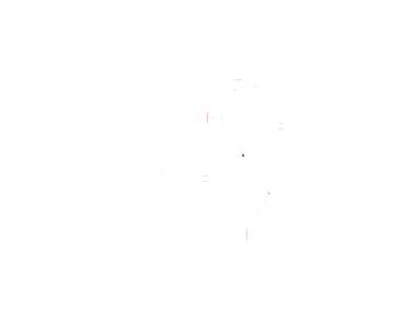 OC(F)(F)CF.[Cl-].[Cl-].[Zn+2]